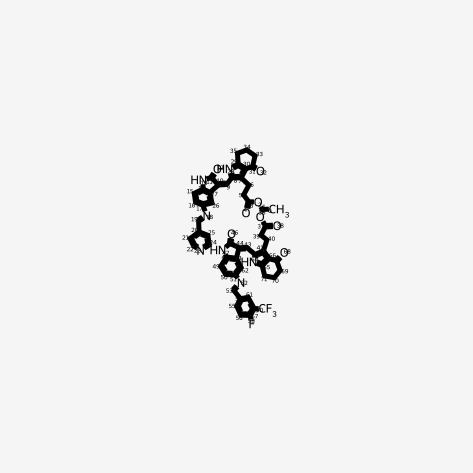 CC(OC(=O)CCc1c(C=C2C(=O)Nc3ccc(N=Cc4ccncc4)cc32)[nH]c2c1C(=O)CCC2)OC(=O)CCc1c(C=C2C(=O)Nc3ccc(N=Cc4ccc(F)c(C(F)(F)F)c4)cc32)[nH]c2c1C(=O)CCC2